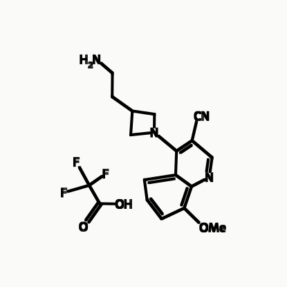 COc1cccc2c(N3CC(CCN)C3)c(C#N)cnc12.O=C(O)C(F)(F)F